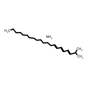 CCCCCCCCCCCCCC=CC=CC=CC(C)C.N